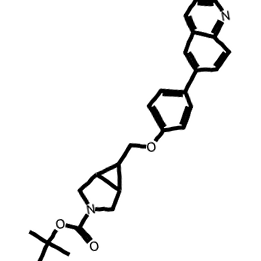 CC(C)(C)OC(=O)N1CC2C(COc3ccc(-c4ccc5ncccc5c4)cc3)C2C1